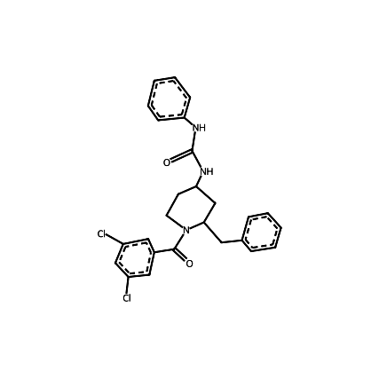 O=C(Nc1ccccc1)NC1CCN(C(=O)c2cc(Cl)cc(Cl)c2)C(Cc2ccccc2)C1